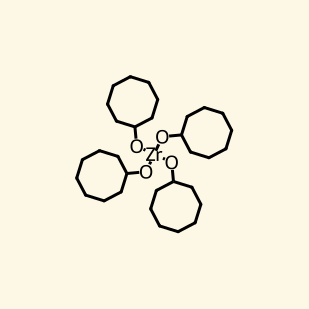 C1CCCC([O][Zr]([O]C2CCCCCCC2)([O]C2CCCCCCC2)[O]C2CCCCCCC2)CCC1